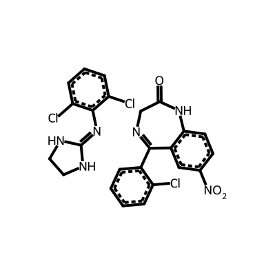 Clc1cccc(Cl)c1N=C1NCCN1.O=C1CN=C(c2ccccc2Cl)c2cc([N+](=O)[O-])ccc2N1